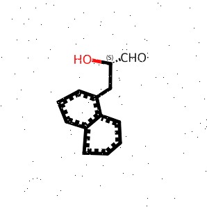 O=[C][C@@H](O)Cc1cccc2ccccc12